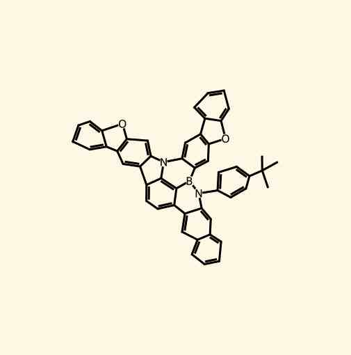 CC(C)(C)c1ccc(N2B3c4cc5oc6ccccc6c5cc4-n4c5cc6oc7ccccc7c6cc5c5ccc(c3c54)-c3cc4ccccc4cc32)cc1